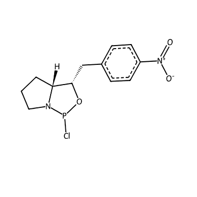 O=[N+]([O-])c1ccc(C[C@@H]2OP(Cl)N3CCC[C@H]23)cc1